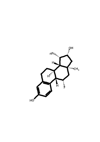 CCC[C@H]1[C@H]2[C@@H]3CCc4cc(O)ccc4[C@H]3[C@@H](F)C[C@]2(C)C[C@H]1O